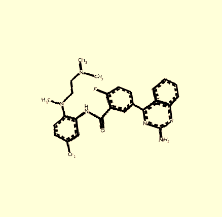 CN(C)CCN(C)c1ccc(C(F)(F)F)cc1NC(=O)c1cc(-c2nc(N)nc3ccccc23)ccc1F